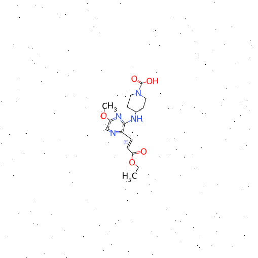 CCOC(=O)/C=C/c1ncc(OC)nc1NC1CCN(C(=O)O)CC1